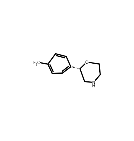 FC(F)(F)c1ccc([C@H]2CNCCO2)cc1